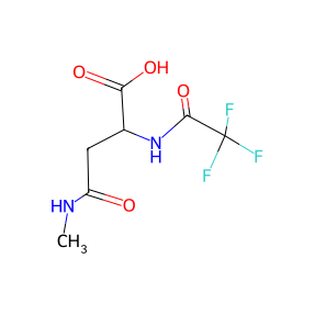 CNC(=O)CC(NC(=O)C(F)(F)F)C(=O)O